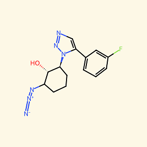 [N-]=[N+]=NC1CCC[C@H](n2nncc2-c2cccc(F)c2)[C@H]1O